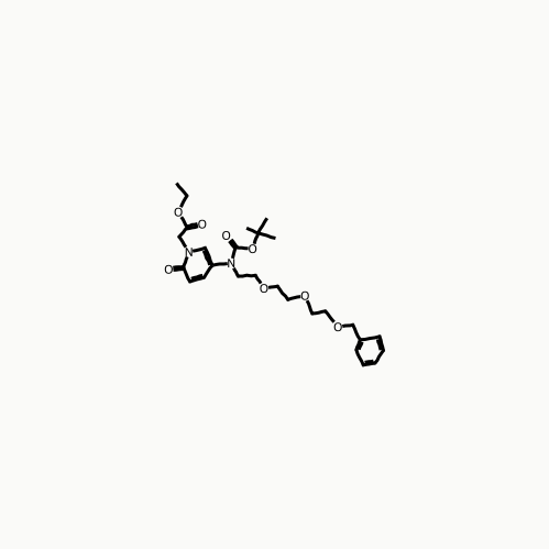 CCOC(=O)Cn1cc(N(CCOCCOCCOCc2ccccc2)C(=O)OC(C)(C)C)ccc1=O